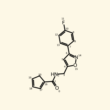 O=C(NCc1cc(-c2ccc(F)cc2)no1)C1=CC=CC1